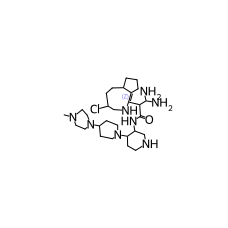 CN1CCN(C2CCN(C3CCNCC3NC(=O)C(/C3=C4\CCCC4CCC(Cl)CN3)C(N)N)CC2)CC1